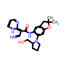 CC1(C)Cc2cc(NC(=O)/C(C=N)=C3\N=CC=CN3)c(N3CCCC3CO)cc2O1